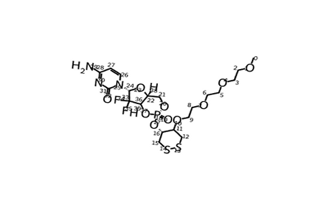 COCCOCCOCCOC1CSSC[C@@H]1OP1(=O)OC[C@H]2O[C@@H](n3ccc(N)nc3=O)C(F)(F)[C@@H]2O1